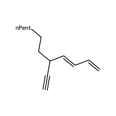 C#CC(C=CC=C)CCCCCCC